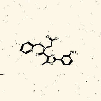 Cc1oc(-c2cccc(N)c2)nc1C(=O)N(CC(=O)O)Cc1ccccn1